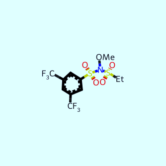 CCS(=O)(=O)N(OC)S(=O)(=O)c1cc(C(F)(F)F)cc(C(F)(F)F)c1